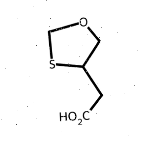 O=C(O)CC1COCS1